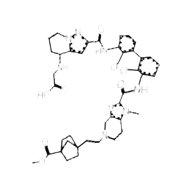 COC(=O)C12CCC(CCN3CCc4c(nc(C(=O)Nc5cccc(-c6cccc(NC(=O)c7cc8n(n7)CCCC8NCC(=O)O)c6Cl)c5Cl)n4C)C3)(CC1)C2